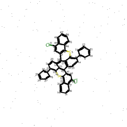 Clc1cc2c(sc3c(-c4ccccc4)ccc4c3c2c2ccc(-c3ccccc3)c3sc5c6ccccc6c(Cl)cc5c4c32)c2ccccc12